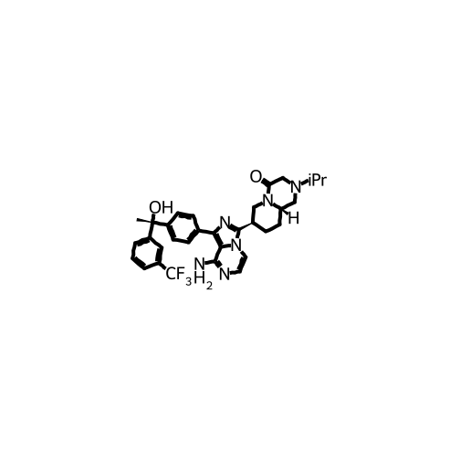 CC(C)N1CC(=O)N2C[C@H](c3nc(-c4ccc([C@@](C)(O)c5cccc(C(F)(F)F)c5)cc4)c4c(N)nccn34)CC[C@H]2C1